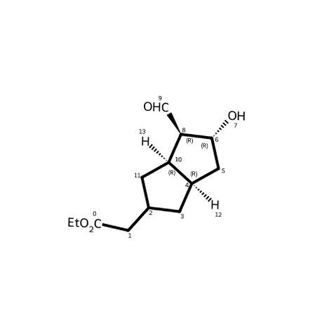 CCOC(=O)CC1C[C@@H]2C[C@@H](O)[C@H](C=O)[C@@H]2C1